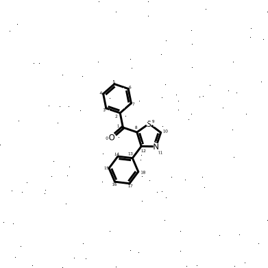 O=C(c1ccccc1)c1s[c]nc1-c1ccccc1